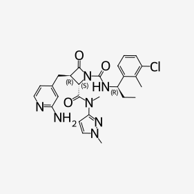 CC[C@@H](NC(=O)N1C(=O)[C@H](Cc2ccnc(N)c2)[C@H]1C(=O)N(C)c1ccn(C)n1)c1cccc(Cl)c1C